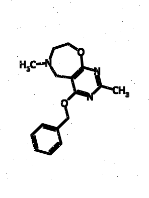 Cc1nc2c(c(OCc3ccccc3)n1)CN(C)CCO2